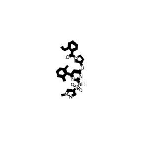 CCc1ccccc1C(=O)N1CCC(Oc2cc(-c3c(C)cccc3C)nc(NS(=O)(=O)c3cnn(C)c3)n2)C1